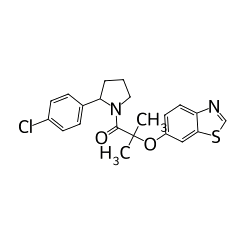 CC(C)(Oc1ccc2ncsc2c1)C(=O)N1CCCC1c1ccc(Cl)cc1